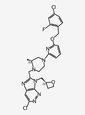 C[C@H]1CN(c2cccc(OCc3ccc(Cl)cc3F)n2)CCN1Cc1nc2cc(Cl)nnc2n1C[C@@H]1CCO1